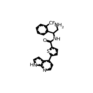 NCC(NC(=O)c1ccc(-c2ccnc3[nH]ccc23)s1)c1ccccc1C(F)(F)F